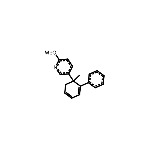 COc1ccc(C2(C)CC=CC=C2c2ccccc2)cn1